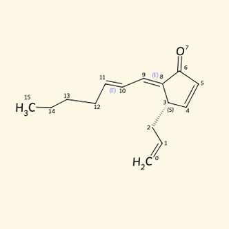 C=CC[C@H]1C=CC(=O)/C1=C/C=C/CCCC